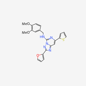 COc1ccc(CNc2nc(-c3cccs3)cc3nc(-c4ccco4)nn23)cc1OC